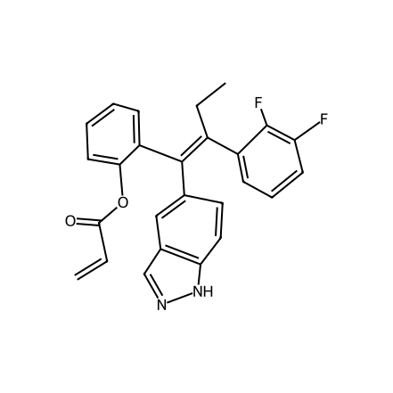 C=CC(=O)Oc1ccccc1/C(=C(\CC)c1cccc(F)c1F)c1ccc2[nH]ncc2c1